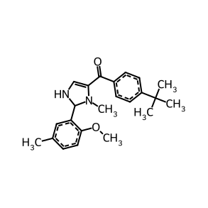 COc1ccc(C)cc1C1NC=C(C(=O)c2ccc(C(C)(C)C)cc2)N1C